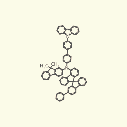 CC1(C)c2ccccc2-c2ccc(N(c3ccc(-c4ccc(-n5c6ccccc6c6ccccc65)cc4)cc3)c3cccc4c3-c3ccccc3C43c4ccccc4-c4ccc(-c5ccccc5)cc43)cc21